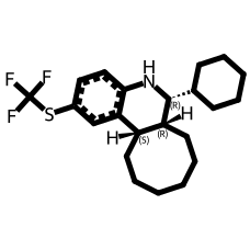 FC(F)(F)Sc1ccc2c(c1)[C@H]1CCCCCC[C@H]1[C@@H](C1CCCCC1)N2